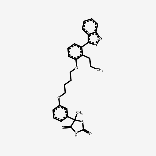 CCCc1c(OCCCCOc2cccc(C3(C)SC(=O)NC3=O)c2)cccc1-c1noc2ccccc12